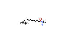 CCCCCCCC=C=CCCCCCCCC(=O)NCC